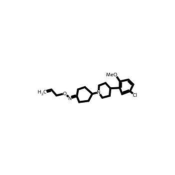 C=CCON=C1CCC(N2CCC(c3cc(Cl)ccc3OC)CC2)CC1